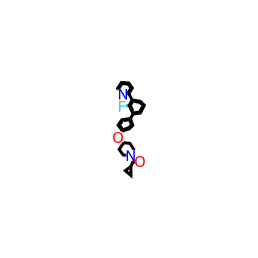 O=C(C1CC1)N1CCC(Oc2ccc(-c3cccc(-c4ccccn4)c3F)cc2)CC1